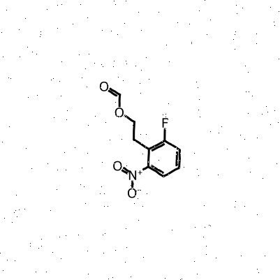 O=COCCc1c(F)cccc1[N+](=O)[O-]